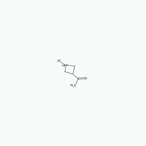 CC(=O)C1C[NH+]([O-])C1